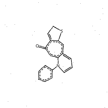 O=c1cc2c(cc3c1=CCS3)=CC=CN2c1ccccc1